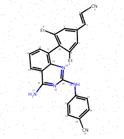 CCc1cc(/C=C/C#N)cc(CC)c1-c1cccc2c(N)nc(Nc3ccc(C#N)cc3)nc12